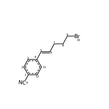 N#Cc1ccc(C=CCCCBr)cc1